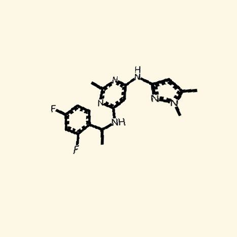 Cc1nc(Nc2cc(C)n(C)n2)cc(NC(C)c2ccc(F)cc2F)n1